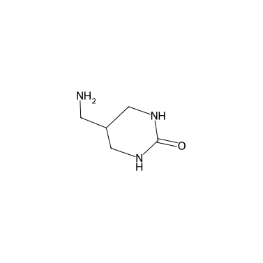 NCC1CNC(=O)NC1